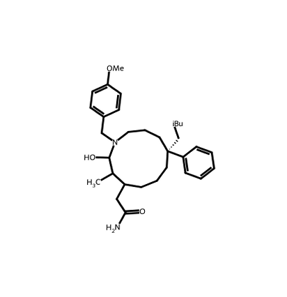 CCC(C)C[C@]1(c2ccccc2)CCCC(CC(N)=O)C(C)C(O)N(Cc2ccc(OC)cc2)CCC1